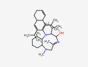 C/C1=N\C(O)C(C(C)C)N(C2=C(C(C)C)C3C=CCCC3C=C2C(C)C)C2C(C)CCCC2N(C)C1